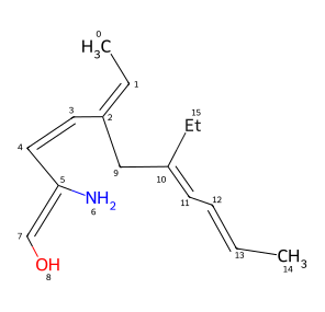 C\C=C(/C=C\C(N)=C\O)C/C(=C/C=C/C)CC